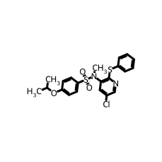 CC(C)Oc1ccc(S(=O)(=O)N(C)c2cc(Cl)cnc2Sc2ccccc2)cc1